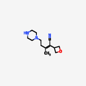 CC(CCN1CCNCC1)=C(C#N)C1COC1